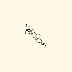 C[C@]12CCC(=[N+]3CCCC3)C=C1CCC1C2CC[C@@]2(C)C1CC[C@]2(O)C(=O)CBr